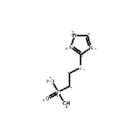 O=P(O)(O)CCSc1nc[nH]n1